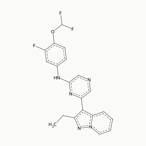 CCc1nn2ccccc2c1-c1cncc(Nc2ccc(OC(F)F)c(F)c2)n1